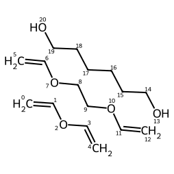 C=COC=C.C=COCCOC=C.OCCCCCCO